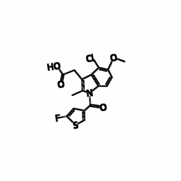 COc1ccc2c(c1Cl)c(CC(=O)O)c(C)n2C(=O)c1csc(F)c1